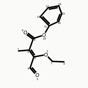 CCOC(C=O)=C(C)C(=O)Oc1ccccc1